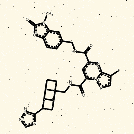 Cn1c(=O)oc2ccc(CNC(=O)c3cc(C(=O)NCC45C6C7C4C4C5C6C74c4ncn[nH]4)n4ncc(F)c4n3)cc21